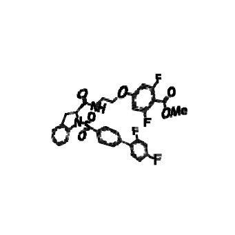 COC(=O)c1c(F)cc(OCCNC(=O)[C@@H]2Cc3ccccc3N2S(=O)(=O)c2ccc(-c3ccc(F)cc3F)cc2)cc1F